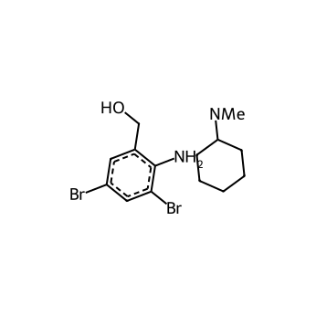 CNC1CCCCC1.Nc1c(Br)cc(Br)cc1CO